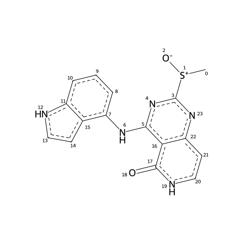 C[S+]([O-])c1nc(Nc2cccc3[nH]ccc23)c2c(=O)[nH]ccc2n1